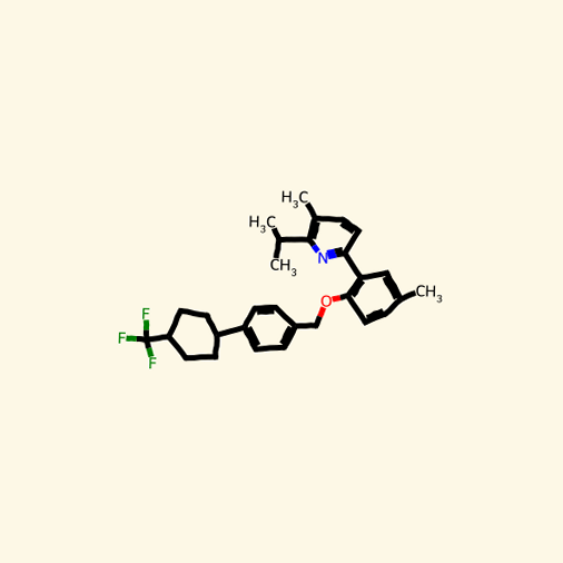 Cc1ccc(OCc2ccc(C3CCC(C(F)(F)F)CC3)cc2)c(-c2ccc(C)c(C(C)C)n2)c1